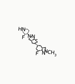 Cn1cc2cc(-c3cc4cn(C5CCNCC5F)nc4s3)cc(F)c2n1